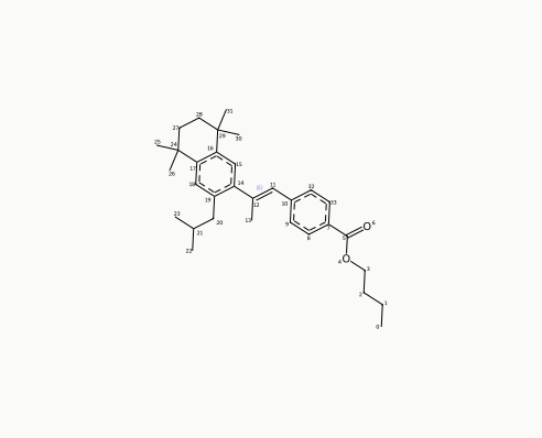 CCCCOC(=O)c1ccc(/C=C(\C)c2cc3c(cc2CC(C)C)C(C)(C)CCC3(C)C)cc1